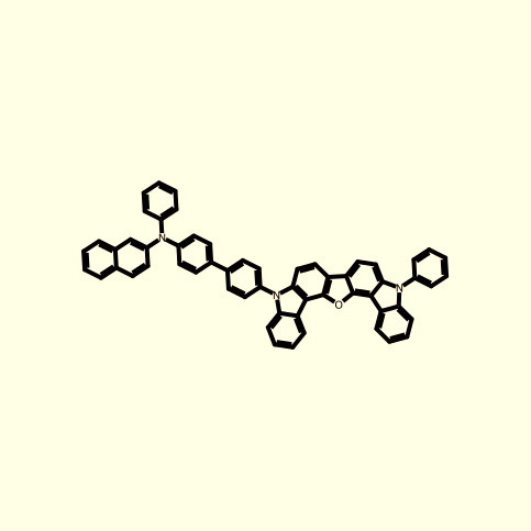 c1ccc(N(c2ccc(-c3ccc(-n4c5ccccc5c5c6oc7c(ccc8c7c7ccccc7n8-c7ccccc7)c6ccc54)cc3)cc2)c2ccc3ccccc3c2)cc1